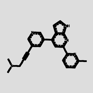 Cc1cccc(-c2cc(-c3cncc(C#CCN(C)C)c3)c3cc[nH]c3n2)n1